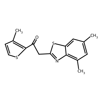 Cc1cc(C)c2nc(CC(=O)c3sccc3C)sc2c1